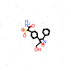 NC(=O)C(c1ccc(-c2c(-c3ccccc3)noc2CO)cc1)=S(=O)=O